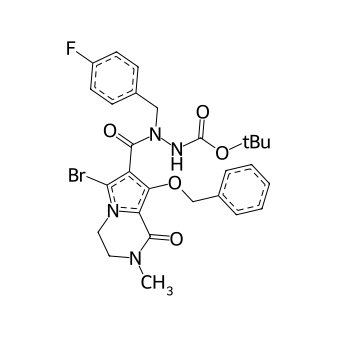 CN1CCn2c(Br)c(C(=O)N(Cc3ccc(F)cc3)NC(=O)OC(C)(C)C)c(OCc3ccccc3)c2C1=O